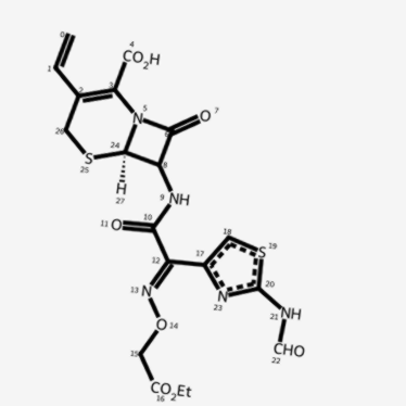 C=CC1=C(C(=O)O)N2C(=O)C(NC(=O)/C(=N/OCC(=O)OCC)c3csc(NC=O)n3)[C@H]2SC1